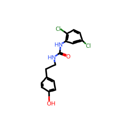 O=C(NCCc1ccc(O)cc1)Nc1cc(Cl)ccc1Cl